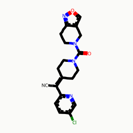 N#CC(=C1CCN(C(=O)N2CCc3nocc3C2)CC1)c1ccc(Cl)cn1